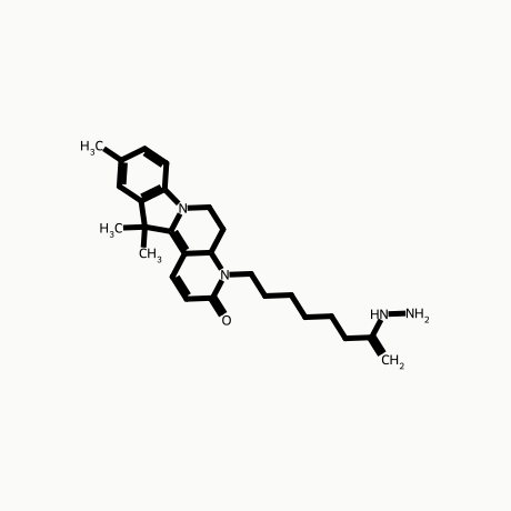 C=C(CCCCCCN1C(=O)C=CC2=C3N(CCC21)c1ccc(C)cc1C3(C)C)NN